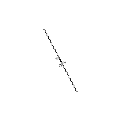 CCCCCCCCCCCCCCCCCCNCCNC(=O)CCCCCCCCCCCCCCCCC